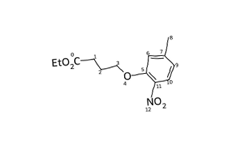 CCOC(=O)CCCOc1cc(C)ccc1[N+](=O)[O-]